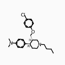 CCCCN1CC[C@@H](c2ccc(N(C)C)cc2)[C@H](COc2ccc(Cl)cc2)C1